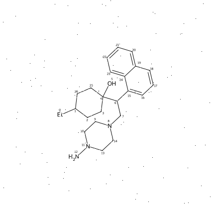 CCC1CCC(O)(C(CN2CCN(N)CC2)c2cccc3ccccc23)CC1